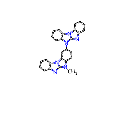 Cn1c2ccc(-n3c4ccccc4n4c5ccccc5nc34)cc2n2c3ccccc3nc12